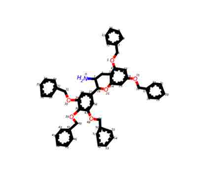 NC1Cc2c(OCc3ccccc3)cc(OCc3ccccc3)cc2OC1c1cc(OCc2ccccc2)c(OCc2ccccc2)c(OCc2ccccc2)c1